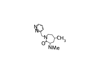 CNC1CC(C)CCN(Cc2cccnn2)C1=O